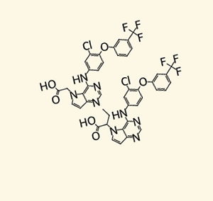 CCC(C(=O)O)n1ccc2ncnc(Nc3ccc(Oc4cccc(C(F)(F)F)c4)c(Cl)c3)c21.O=C(O)Cn1ccc2ncnc(Nc3ccc(Oc4cccc(C(F)(F)F)c4)c(Cl)c3)c21